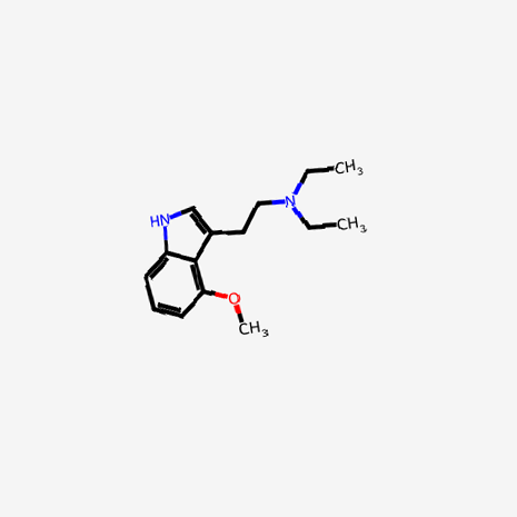 CCN(CC)CCc1c[nH]c2cccc(OC)c12